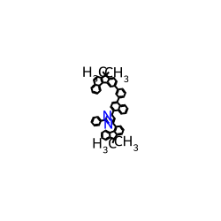 CC1(C)c2ccccc2-c2c(-c3cc(-c4ccc(-c5cccc(-c6ccc7c(c6)-c6c(ccc8ccccc68)C7(C)C)c5)c5ccccc45)nc(-c4ccccc4)n3)cccc21